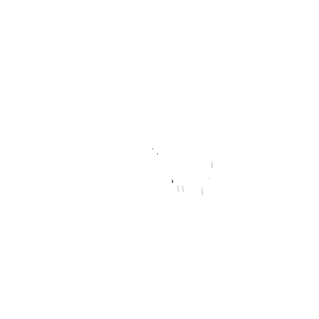 C[C@H](OS(=O)(=O)C(F)(F)F)C(=O)N(Cc1ccccc1)c1ccccc1